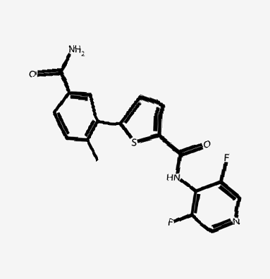 Cc1ccc(C(N)=O)cc1-c1ccc(C(=O)Nc2c(F)cncc2F)s1